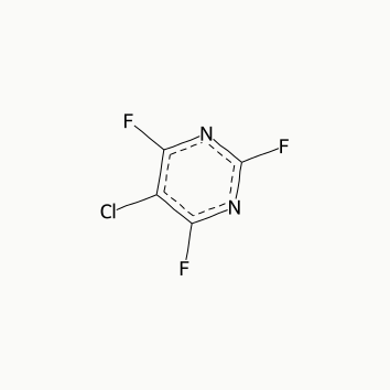 Fc1nc(F)c(Cl)c(F)n1